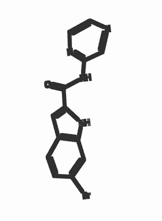 O=C(Nc1cnccn1)c1cc2ccc(Br)cc2[nH]1